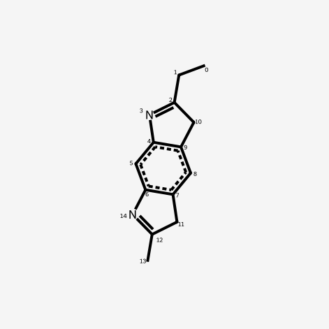 CCC1=Nc2cc3c(cc2C1)CC(C)=N3